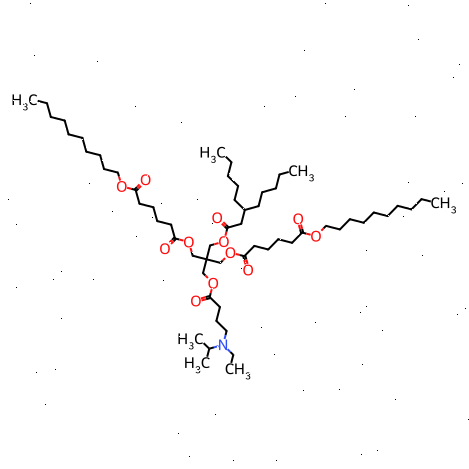 CCCCCCCCCCOC(=O)CCCCC(=O)OCC(COC(=O)CCCCC(=O)OCCCCCCCCCC)(COC(=O)CCCN(CC)C(C)C)COC(=O)CC(CCCCC)CCCCC